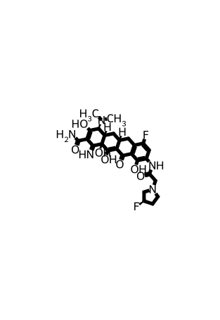 CN(C)[C@@H]1C(O)=C(C(N)=O)C(=N)[C@@]2(O)C(O)=C3C(=O)c4c(O)c(NC(=O)CN5CC[C@@H](F)C5)cc(F)c4C[C@H]3C[C@@H]12